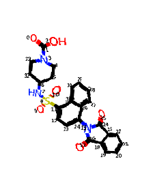 O=C(O)N1CCC(NS(=O)(=O)c2ccc(N3C(=O)c4ccccc4C3=O)c3ccccc23)CC1